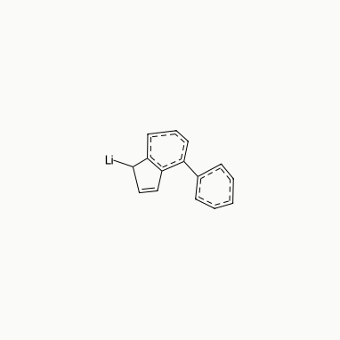 [Li][CH]1C=Cc2c(-c3ccccc3)cccc21